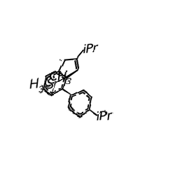 CC(C)C1=C2c3c(ccc(c3-c3ccc(C(C)C)cc3)[Si]2(C)C)[CH]1